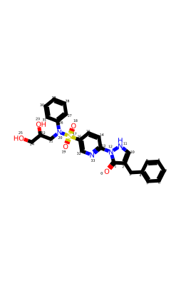 O=c1c(Cc2ccccc2)c[nH]n1-c1ccc(S(=O)(=O)N(CC(O)CO)c2ccccc2)cn1